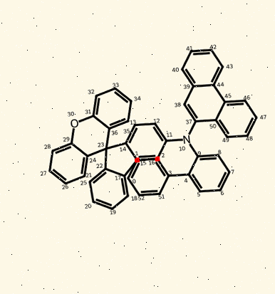 c1ccc(-c2ccccc2N(c2ccc3c(c2)-c2ccccc2C32c3ccccc3Oc3ccccc32)c2cc3ccccc3c3ccccc23)cc1